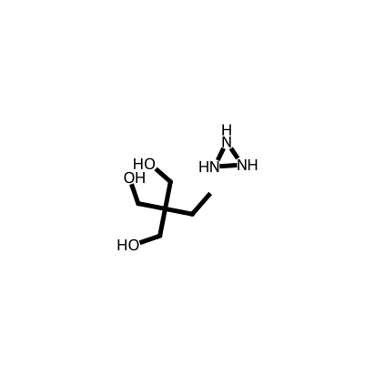 CCC(CO)(CO)CO.[nH]1[nH][nH]1